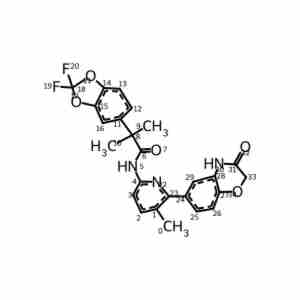 Cc1ccc(NC(=O)C(C)(C)c2ccc3c(c2)OC(F)(F)O3)nc1-c1ccc2c(c1)NC(=O)CO2